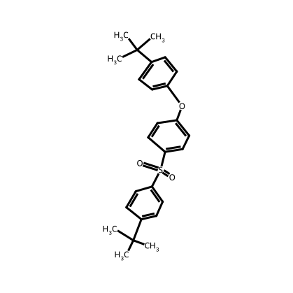 CC(C)(C)c1ccc(Oc2ccc(S(=O)(=O)c3ccc(C(C)(C)C)cc3)cc2)cc1